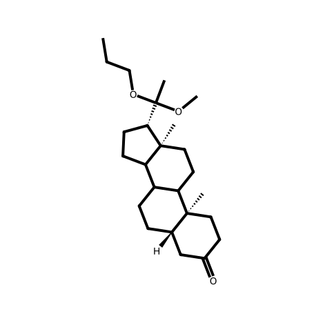 CCCOC(C)(OC)[C@H]1CCC2C3CC[C@H]4CC(=O)CC[C@]4(C)C3CC[C@@]21C